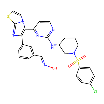 O=S(=O)(c1ccc(Cl)cc1)N1CCC[C@@H](Nc2nccc(-c3c(-c4cccc(C=NO)c4)nc4sccn34)n2)C1